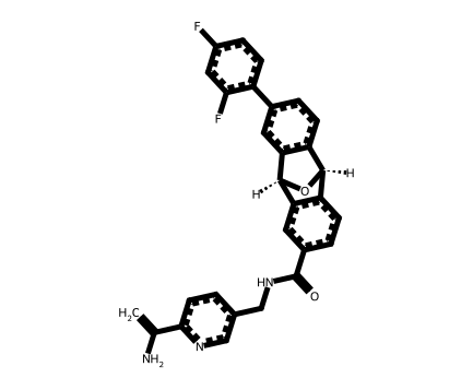 C=C(N)c1ccc(CNC(=O)c2ccc3c(c2)[C@@H]2O[C@H]3c3ccc(-c4ccc(F)cc4F)cc32)cn1